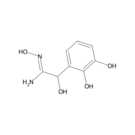 NC(=NO)C(O)c1cccc(O)c1O